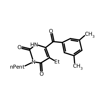 CCCCCn1c(=O)[nH]c(C(=O)c2cc(C)cc(C)c2)c(CC)c1=O